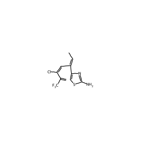 C=C(/C(Cl)=C\C(=C/C)c1csc(N)n1)C(F)(F)F